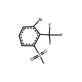 CS(=O)(=O)c1cccc(Br)c1C(F)(F)F